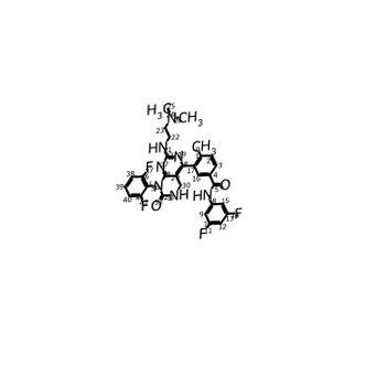 Cc1ccc(C(=O)Nc2cc(F)cc(F)c2)cc1-c1nc(NCCN(C)C)nc2c1CNC(=O)N2c1c(F)cccc1F